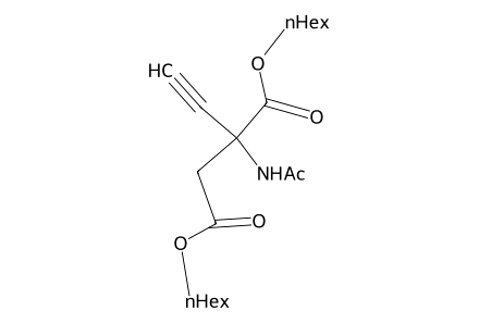 C#CC(CC(=O)OCCCCCC)(NC(C)=O)C(=O)OCCCCCC